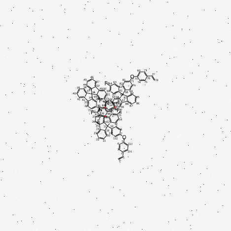 C=Cc1ccc(Oc2ccc(C3(c4ccc(F)cc4)c4ccccc4-c4ccc(N(c5ccc6c(c5)C5(c7ccccc7-6)c6ccccc6-c6ccc(N(c7ccc8c(c7)C(c7ccc(F)cc7)(c7ccc(Oc9ccc(C=C)cc9)cc7)c7ccccc7-8)c7cc(F)c(F)cc7F)cc65)c5cc(F)c(F)cc5F)cc43)cc2)cc1